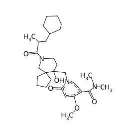 COc1cc(=O)n(CC2(O)CCN(C(=O)C(C)CC3CCCCC3)CC23CCCC3)cc1C(=O)N(C)C